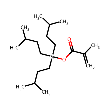 C=C(C)C(=O)O[Si](CCC(C)C)(CCC(C)C)CCC(C)C